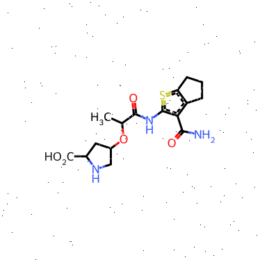 CC(OC1CNC(C(=O)O)C1)C(=O)Nc1sc2c(c1C(N)=O)CCC2